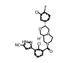 N#Cc1cc(-c2cccc(C(=O)N3CCN4C[C@@H](c5ccc(F)c(Cl)c5)OC[C@@H]4C3)c2Cl)n[nH]1